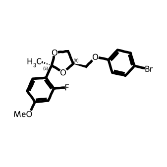 COc1ccc([C@@]2(C)OC[C@@H](COc3ccc(Br)cc3)O2)c(F)c1